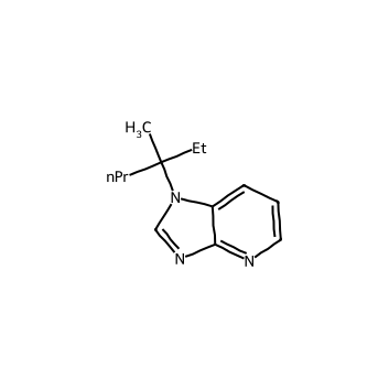 CCCC(C)(CC)n1cnc2ncccc21